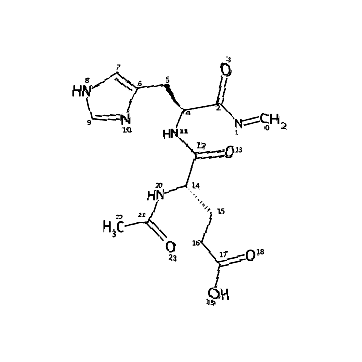 C=NC(=O)[C@H](Cc1c[nH]cn1)NC(=O)[C@H](CCC(=O)O)NC(C)=O